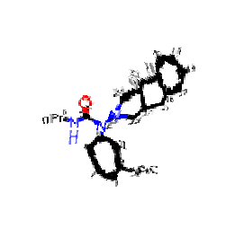 CCCNC(=O)N(c1cccc(C(C)=O)c1)N1CC2Cc3ccccc3CC2C1